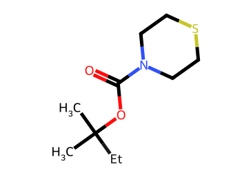 CCC(C)(C)OC(=O)N1CCSCC1